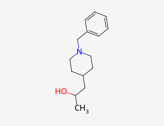 CC(O)CC1CCN(Cc2ccccc2)CC1